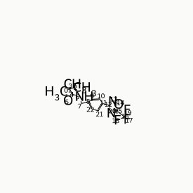 CC(C)(C)C(=O)NCc1ccc(-c2noc(C(F)(F)F)n2)cc1